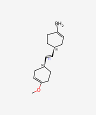 BC1=CC[C@@H](/C=C/[C@@H]2CC=C(OC)CC2)CC1